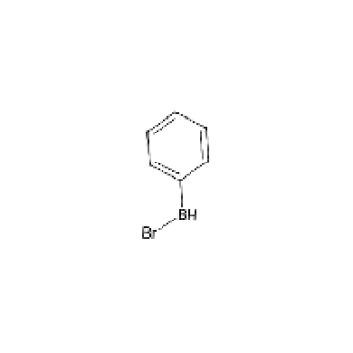 BrBc1ccccc1